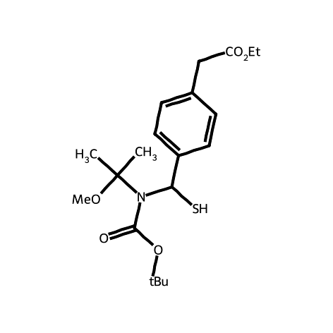 CCOC(=O)Cc1ccc(C(S)N(C(=O)OC(C)(C)C)C(C)(C)OC)cc1